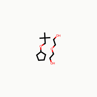 CC(C)(C)COC1CCCC1.OCCOCCO